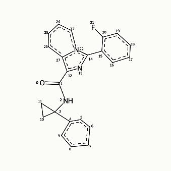 O=C(NC1(c2ccccc2)CC1)c1nc(-c2ccccc2F)n2ccccc12